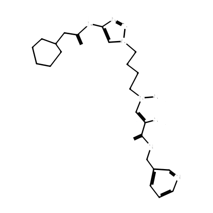 N/C(=C\N(N)CCCCn1cc(NC(=O)CC2CCCCC2)nn1)C(=O)NCc1cccnc1